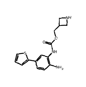 Nc1ccc(-c2cccs2)cc1NC(=O)OCC1CNC1